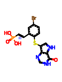 O=c1[nH]cnc2c(Sc3ccc(Br)cc3/C=C/P(=O)(O)O)c[nH]c12